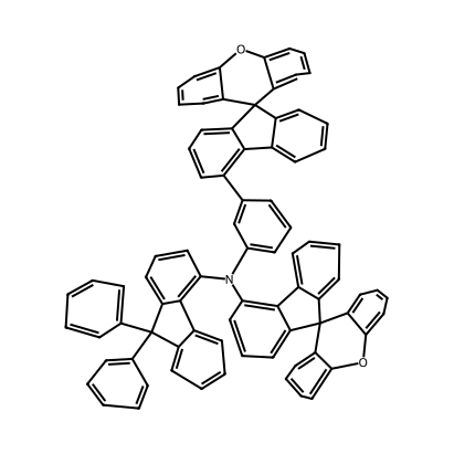 c1ccc(C2(c3ccccc3)c3ccccc3-c3c(N(c4cccc(-c5cccc6c5-c5ccccc5C65c6ccccc6Oc6ccccc65)c4)c4cccc5c4-c4ccccc4C54c5ccccc5Oc5ccccc54)cccc32)cc1